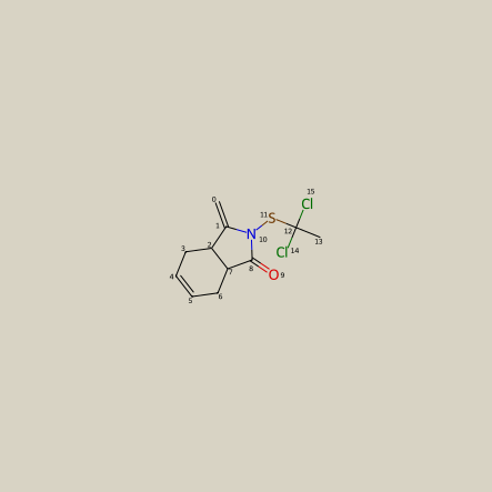 C=C1C2CC=CCC2C(=O)N1SC(C)(Cl)Cl